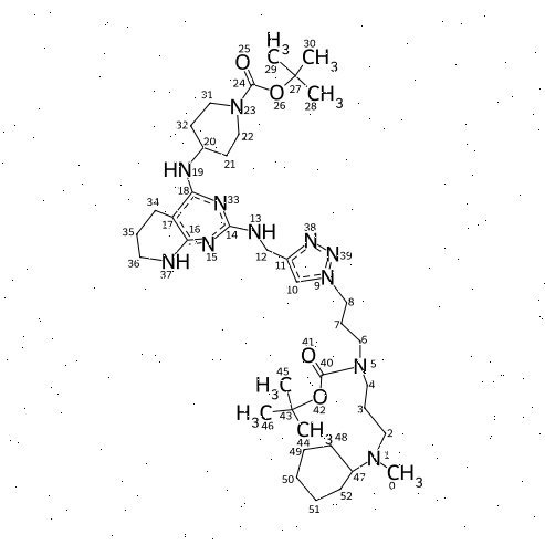 CN(CCCN(CCCn1cc(CNc2nc3c(c(NC4CCN(C(=O)OC(C)(C)C)CC4)n2)CCCN3)nn1)C(=O)OC(C)(C)C)C1CCCCC1